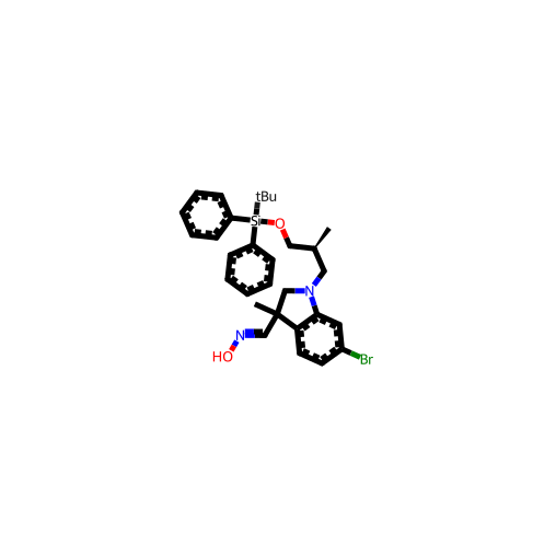 C[C@H](CO[Si](c1ccccc1)(c1ccccc1)C(C)(C)C)CN1CC(C)(C=NO)c2ccc(Br)cc21